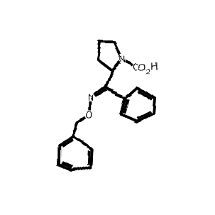 O=C(O)N1CCCC1C(=NOCc1ccccc1)c1ccccc1